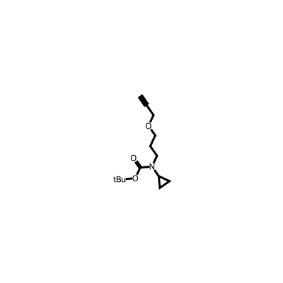 C#CCOCCCN(C(=O)OC(C)(C)C)C1CC1